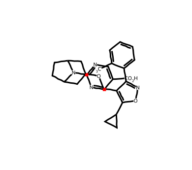 O=C(O)c1cnc(N2C3CCC2CC(OCc2c(-c4ccccc4C(F)(F)F)noc2C2CC2)C3)nc1